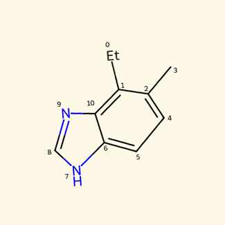 CCc1c(C)ccc2[nH]cnc12